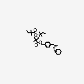 CCC(C)(C)OCC(C)(COC(=O)C(C)(C)CC)C(=O)OCc1ccc(C[PH](C)(C)C2CCCCC2)cc1